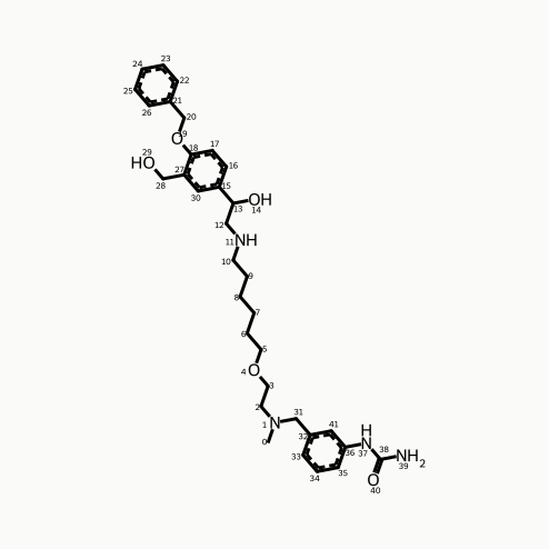 CN(CCOCCCCCCNCC(O)c1ccc(OCc2ccccc2)c(CO)c1)Cc1cccc(NC(N)=O)c1